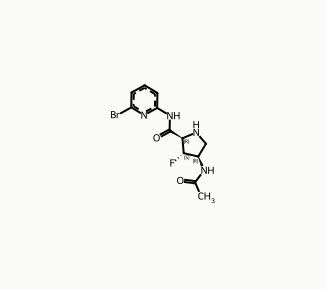 CC(=O)N[C@@H]1CN[C@H](C(=O)Nc2cccc(Br)n2)[C@H]1F